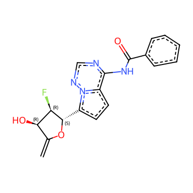 C=C1O[C@@H](c2ccc3c(NC(=O)c4ccccc4)ncnn23)[C@H](F)[C@@H]1O